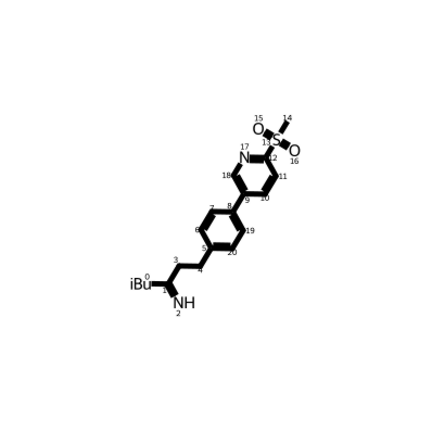 CCC(C)C(=N)CCc1ccc(-c2ccc(S(C)(=O)=O)nc2)cc1